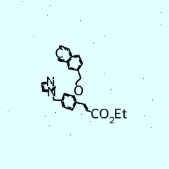 CCOC(=O)C=Cc1ccc(Cn2ccnc2)cc1OCCc1ccc2ccccc2c1